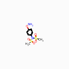 CS(=O)(=O)N(c1ccc(ON)cc1)S(C)(=O)=O